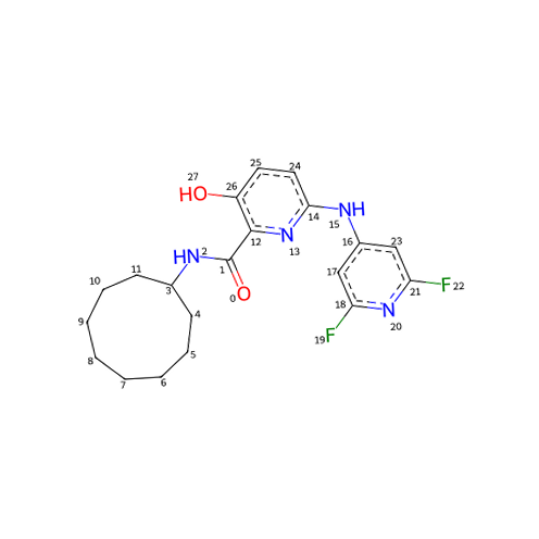 O=C(NC1CCCCCCCC1)c1nc(Nc2cc(F)nc(F)c2)ccc1O